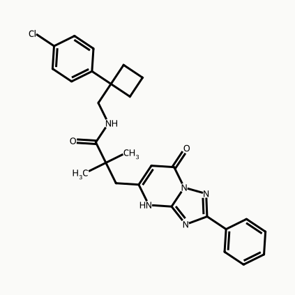 CC(C)(Cc1cc(=O)n2nc(-c3ccccc3)nc2[nH]1)C(=O)NCC1(c2ccc(Cl)cc2)CCC1